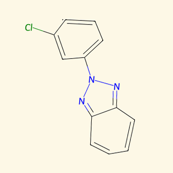 Clc1[c]ccc(-n2nc3ccccc3n2)c1